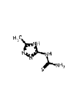 Cc1nnc(NC(N)=S)[nH]1